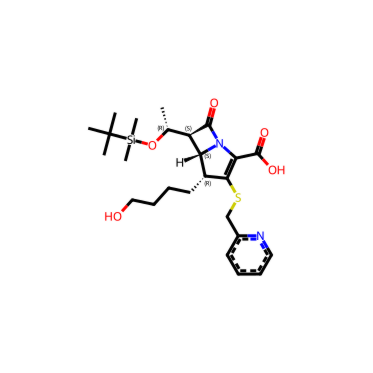 C[C@@H](O[Si](C)(C)C(C)(C)C)[C@H]1C(=O)N2C(C(=O)O)=C(SCc3ccccn3)[C@H](CCCCO)[C@H]12